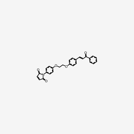 O=C(/C=C/c1ccc(OCCOc2ccc(N3C(=O)C=CC3=O)cc2)cc1)c1ccccc1